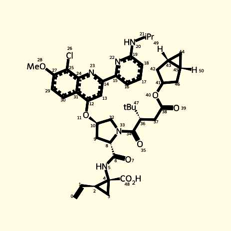 C=C[C@@H]1C[C@]1(NC(=O)[C@@H]1C[C@@H](Oc2cc(-c3cccc(NC(C)C)n3)nc3c(Cl)c(OC)ccc23)CN1C(=O)[C@@H](CC(=O)OC1C[C@@H]2C[C@@H]2C1)C(C)(C)C)C(=O)O